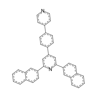 c1ccc2cc(-c3cc(-c4ccc(-c5ccncc5)cc4)cc(-c4ccc5ccccc5c4)n3)ccc2c1